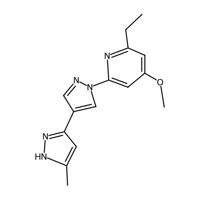 CCc1cc(OC)cc(-n2cc(-c3cc(C)[nH]n3)cn2)n1